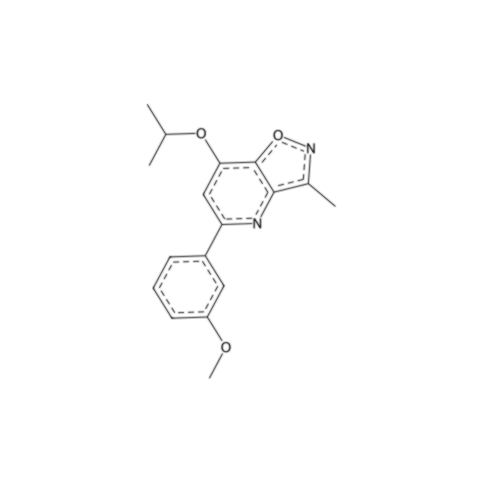 COc1cccc(-c2cc(OC(C)C)c3onc(C)c3n2)c1